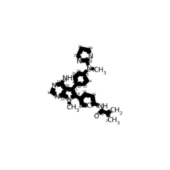 C=C(C)C(=O)Nc1ccc(-c2c(-c3ccc(N(C)c4ncccn4)cc3)c3c(N)ncnc3n2C)cc1